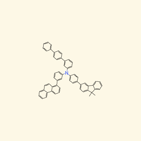 CC1(C)c2ccccc2-c2cc(-c3ccc(N(c4cccc(-c5ccc(-c6ccccc6)cc5)c4)c4cccc(-c5cccc6c5ccc5ccccc56)c4)cc3)ccc21